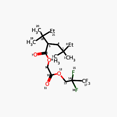 CCC(C)(C)CC(C(=O)OCC(=O)OCC(F)(F)C(F)(F)F)C(C)(C)CC